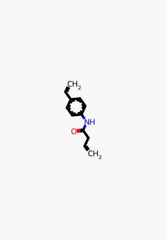 C=CCC(=O)Nc1ccc(C=C)cc1